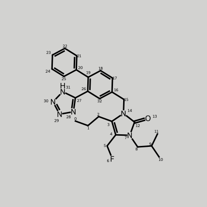 CCCc1c(CF)n(CC(C)C)c(=O)n1Cc1ccc(-c2ccccc2)c(-c2nnn[nH]2)c1